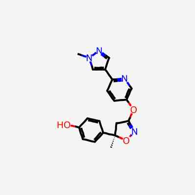 Cn1cc(-c2ccc(OC3=NO[C@@](C)(c4ccc(O)cc4)C3)cn2)cn1